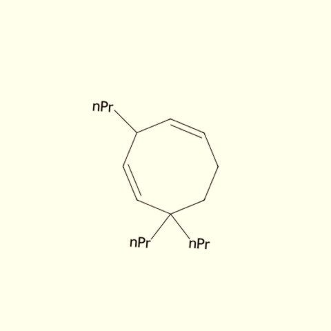 CCCC1C=CCCC(CCC)(CCC)C=C1